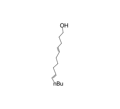 CCCC/C=C/CCC/C=C/CCCO